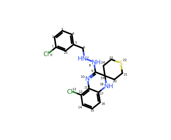 Clc1cccc(CNNC2=Nc3c(Cl)cccc3NC23CCSCC3)c1